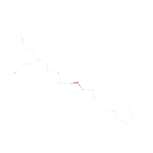 O=C(COc1cc(C(F)(F)F)nc(C(F)(F)F)c1)NC12CC(NC(=O)COc3ccc(Cl)c(F)c3)(C1)C2